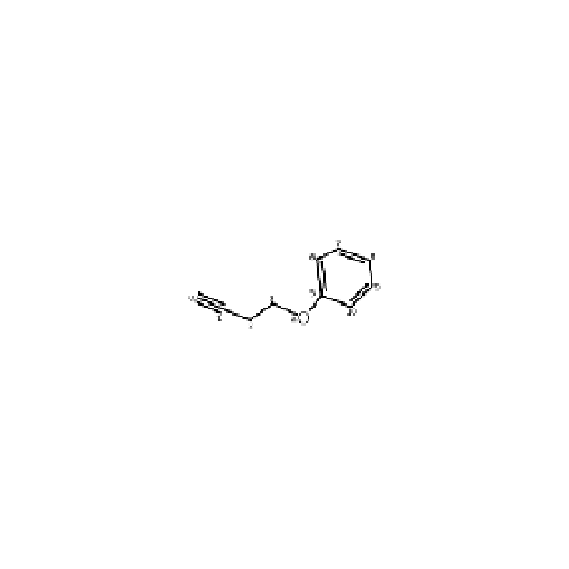 C#CCCOc1ccccc1